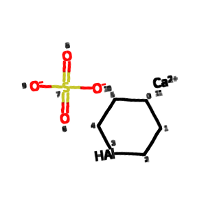 C1C[CH2][AlH][CH2]C1.O=S(=O)([O-])[O-].[Ca+2]